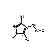 CCc1nn(C)c(Cl)c1OC=O